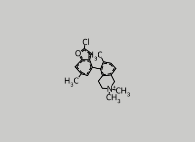 Cc1cc(-c2c(C)ccc3c2CC[N+](C)(C)C3)c2cc(Cl)oc2c1